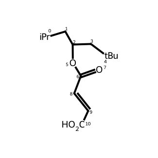 CC(C)CC(CC(C)(C)C)OC(=O)C=CC(=O)O